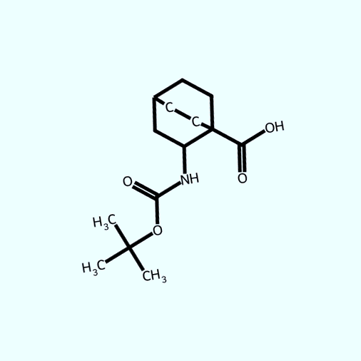 CC(C)(C)OC(=O)NC1CC2CCC1(C(=O)O)CC2